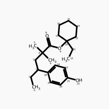 CCC(CC(C)(C)C(=O)OC1(CC)CCCCC1)c1ccc(O)cc1